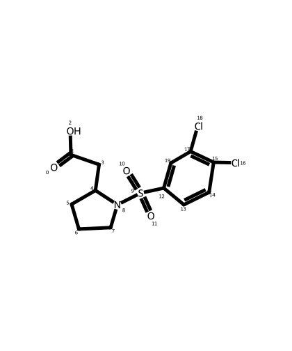 O=C(O)CC1CCCN1S(=O)(=O)c1ccc(Cl)c(Cl)c1